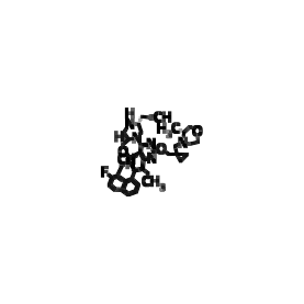 C#CC[C@@H]1CN2c3nc(OCC4(CN5CCOC[C@H]5C)CC4)nc4c(CC)c(-c5cccc6ccc(F)c(C#C)c56)nc(c34)OC[C@@H]2CN1